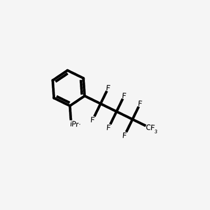 C[C](C)c1ccccc1C(F)(F)C(F)(F)C(F)(F)C(F)(F)F